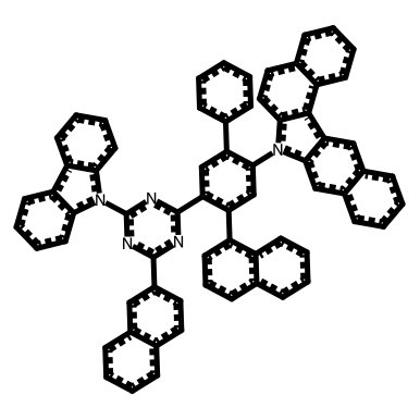 c1ccc(-c2cc(-c3nc(-c4ccc5ccccc5c4)nc(-n4c5ccccc5c5ccccc54)n3)c(-c3cccc4ccccc34)cc2-n2c3cc4ccccc4cc3c3c4ccccc4ccc32)cc1